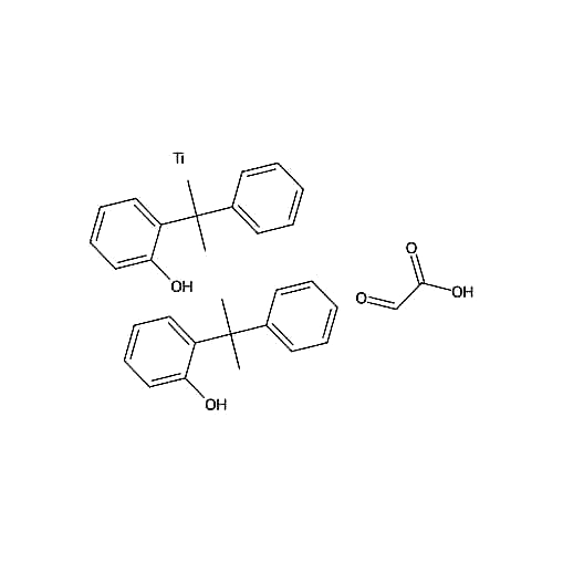 CC(C)(c1ccccc1)c1ccccc1O.CC(C)(c1ccccc1)c1ccccc1O.O=CC(=O)O.[Ti]